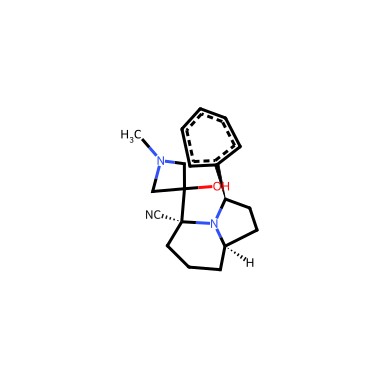 CN1CC(O)([C@]2(C#N)CCC[C@@H]3CC[C@H](c4ccccc4)N32)C1